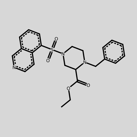 CCOC(=O)C1CN(S(=O)(=O)c2cccc3cnccc23)CCN1Cc1ccccc1